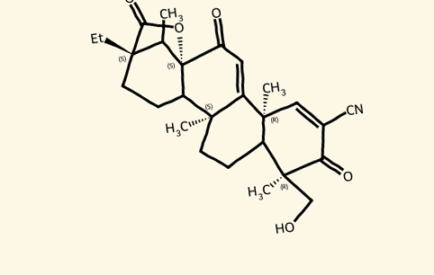 CC[C@@]12CCC3[C@](OC1=O)(C(=O)C=C1[C@@]4(C)C=C(C#N)C(=O)[C@@](C)(CO)C4CC[C@]13C)C2C